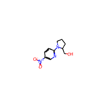 O=[N+]([O-])c1ccc(N2CCCC2CO)nc1